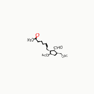 COC(=O)CCC/C=C\C[C@@H]1C(OC(C)=O)C[C@H](COC(C)=O)[C@H]1C=O